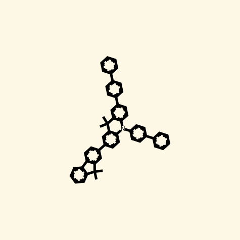 CC1(C)c2ccccc2-c2ccc(-c3ccc4c(c3)C(C)(C)c3cc(-c5ccc(-c6ccccc6)cc5)ccc3N4c3ccc(-c4ccccc4)cc3)cc21